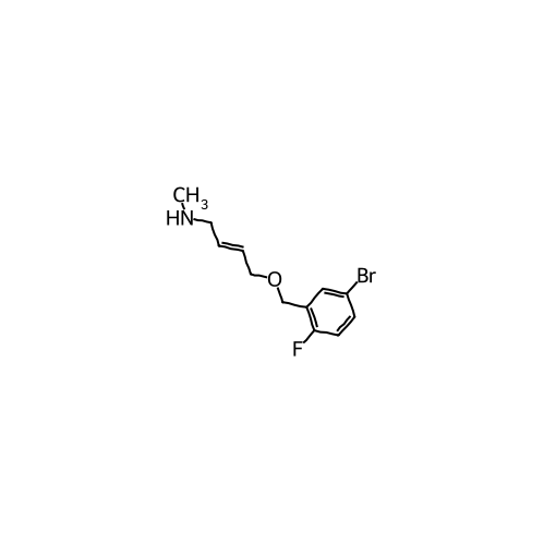 CNCC=CCOCc1cc(Br)ccc1F